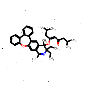 CCC1(CC)N=C(C)c2cc3c(cc2C1(C)O/C(=C\C(=O)CC(C)C)CC(C)C)-c1ccccc1-c1ccccc1O3